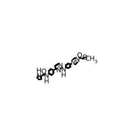 COCC(=O)N1CCN(c2ccc(Nc3nccc(-c4ccc(NC(=O)C5CCCN5)cc4)n3)cc2)CC1